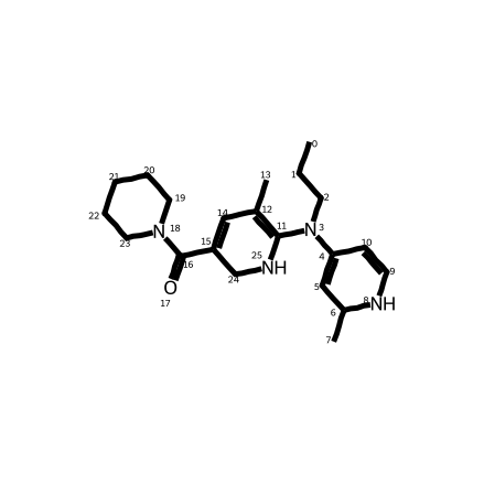 CCCN(C1=CC(C)NC=C1)C1=C(C)C=C(C(=O)N2CCCCC2)CN1